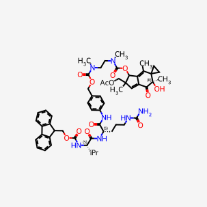 CC(=O)OCC1(C)C=C2C(=O)[C@](C)(O)C3(CC3)C(C)=C2C1OC(=O)N(C)CCN(C)C(=O)OCc1ccc(NC(=O)[C@H](CCCNC(N)=O)NC(=O)[C@@H](NC(=O)OCC2c3ccccc3-c3ccccc32)C(C)C)cc1